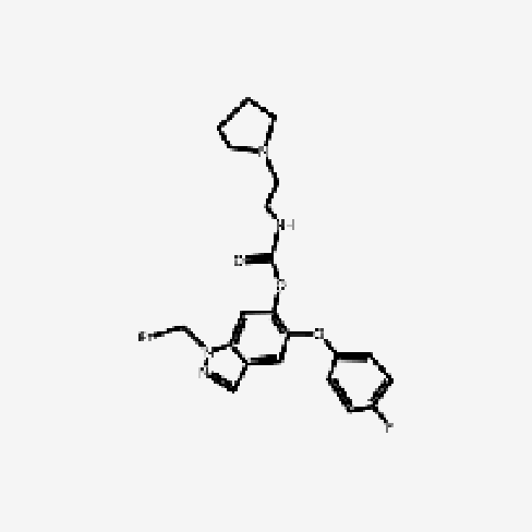 CC(C)Cn1ncc2cc(Oc3ccc(F)cc3)c(OC(=O)NCCN3CCCC3)cc21